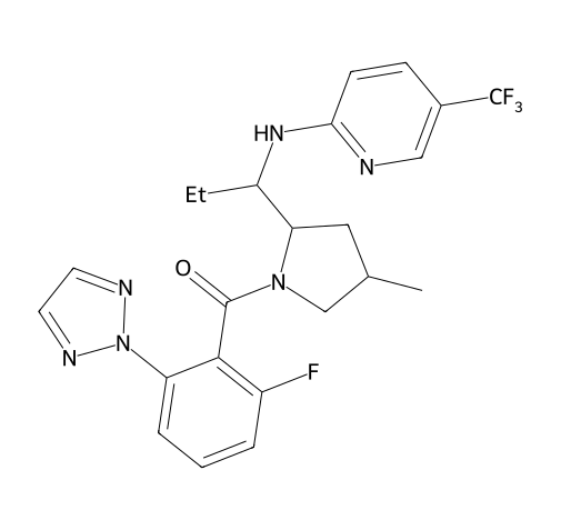 CCC(Nc1ccc(C(F)(F)F)cn1)C1CC(C)CN1C(=O)c1c(F)cccc1-n1nccn1